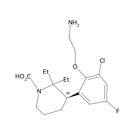 CCC1(CC)[C@@H](c2cc(F)cc(Cl)c2OCCN)CCCN1C(=O)O